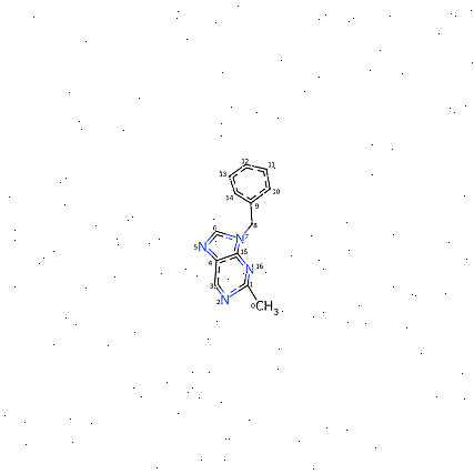 Cc1n[c]c2ncn(Cc3ccccc3)c2n1